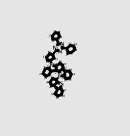 c1ccc(-c2nc(-c3ccccc3)nc(-c3cccc(-n4c5ccccc5c5c4ccc4c6ccccc6n(-c6cccc7c6sc6ccccc67)c45)c3)n2)cc1